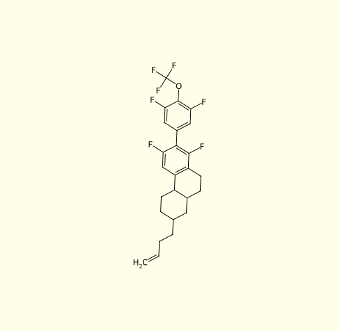 C=CCCC1CCC2c3cc(F)c(-c4cc(F)c(OC(F)(F)F)c(F)c4)c(F)c3CCC2C1